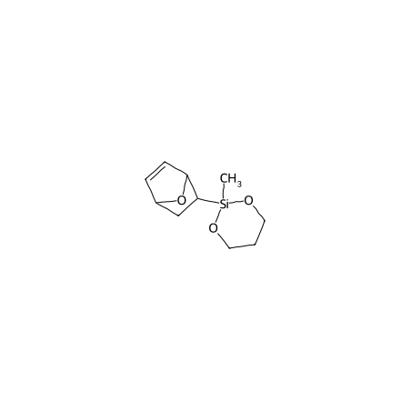 C[Si]1(C2CC3C=CC2O3)OCCCO1